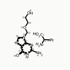 CC(C)C(N)C(=O)O.Nc1nc2c(ncn2COCCO)c(=O)[nH]1